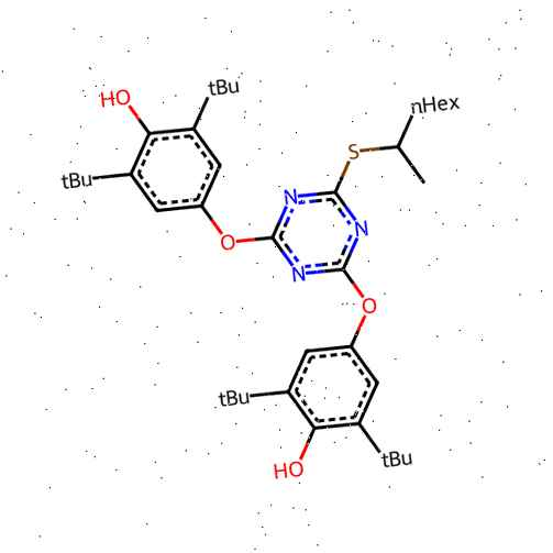 CCCCCCC(C)Sc1nc(Oc2cc(C(C)(C)C)c(O)c(C(C)(C)C)c2)nc(Oc2cc(C(C)(C)C)c(O)c(C(C)(C)C)c2)n1